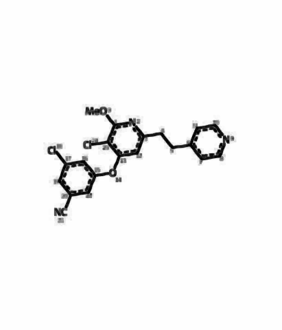 COc1nc(CCc2ccncc2)cc(Oc2cc(Cl)cc(C#N)c2)c1Cl